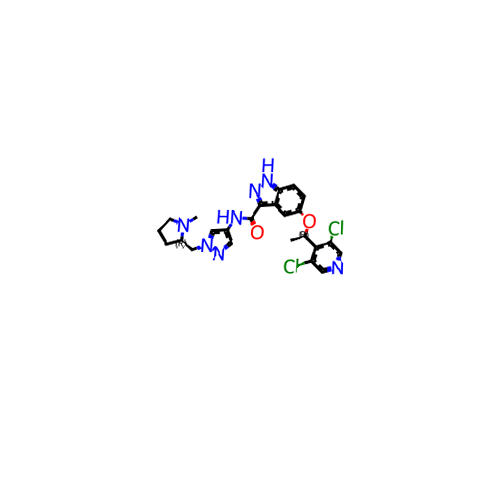 C[C@@H](Oc1ccc2[nH]nc(C(=O)Nc3cnn(C[C@H]4CCCN4C)c3)c2c1)c1c(Cl)cncc1Cl